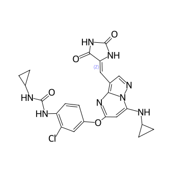 O=C1NC(=O)/C(=C/c2cnn3c(NC4CC4)cc(Oc4ccc(NC(=O)NC5CC5)c(Cl)c4)nc23)N1